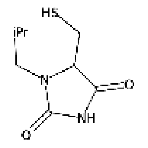 CC(C)CN1C(=O)NC(=O)C1CS